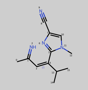 CC(=N)/C=C(\c1nc(C#N)cn1C)C(C)C